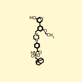 CCOc1cc(CN2CCN(c3ccc(C(=O)NS(=O)(=O)CC45CC6CC(CC(C6)C4)C5)cc3)CC2)cc(-c2cncc(O)c2)c1